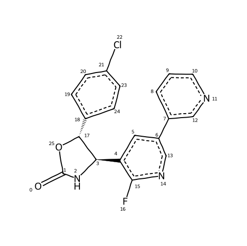 O=C1N[C@H](c2cc(-c3cccnc3)cnc2F)[C@@H](c2ccc(Cl)cc2)O1